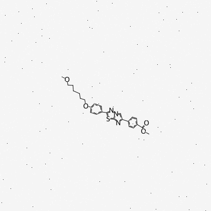 COCCCCCCOc1ccc(-c2nn3cc(-c4ccc(C(=O)OC)cc4)nc3s2)cc1